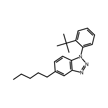 CCCCCc1ccc2c(c1)nnn2-c1ccccc1C(C)(C)C